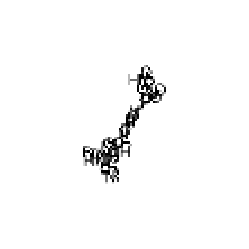 CCc1cc(Nc2ncc(Br)c(Nc3ccc4nc(C)ccc4c3[P]3(O)CCCC3)n2)c(OC)cc1N1CCC(N2CCN(CCc3ccc4c(c3)oc(=O)n4C3CCC(=O)NC3=O)CC2)CC1